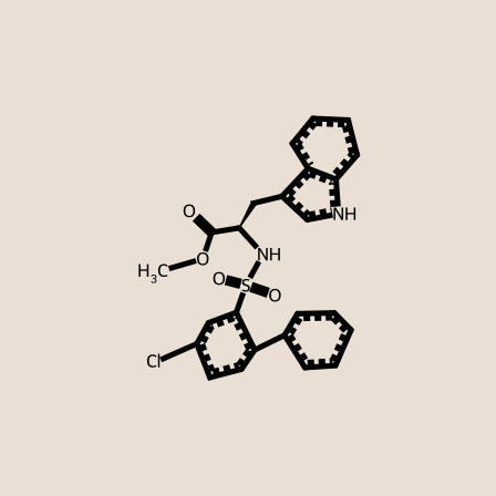 COC(=O)[C@@H](Cc1c[nH]c2ccccc12)NS(=O)(=O)c1cc(Cl)ccc1-c1ccccc1